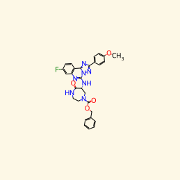 COc1ccc(-c2nc3c4ccc(F)cc4nc(N[C@@H]4CN(C(=O)OCc5ccccc5)CCNC4=O)n3n2)cc1